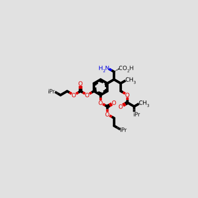 CC(C)CCOC(=O)Oc1ccc(C(C(C)COC(=O)C(C)C(C)C)[C@H](N)C(=O)O)cc1OC(=O)OCCC(C)C